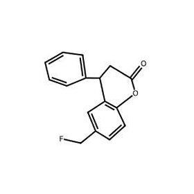 O=C1CC(c2ccccc2)c2cc(CF)ccc2O1